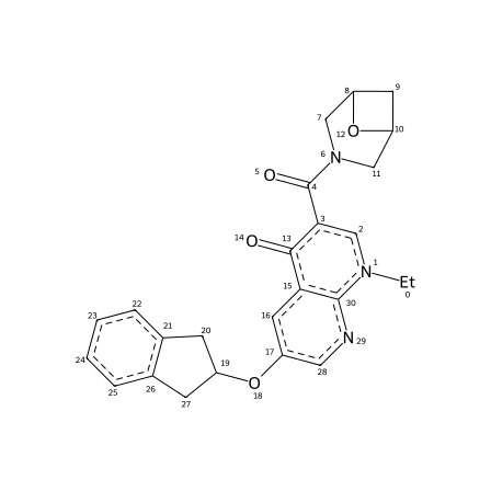 CCn1cc(C(=O)N2CC3CC(C2)O3)c(=O)c2cc(OC3Cc4ccccc4C3)cnc21